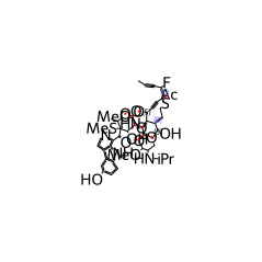 CC#C/C(F)=C\C#C[C@H](OC1OC(C)C(SC)(C(=O)c2nccc3c2[nH]c2ccc(O)cc23)C(O)C1OC1CC(OC)C(NC(C)C)CO1)C1=C(NC(=O)OC)C(=O)C[C@H](O)/C1=C/CSC(C)=O